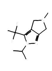 CC(C)n1nc2c(c1C(F)(F)F)CN(C)C2